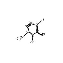 O=[N+]([O-])c1cnc(Cl)c(Br)c1Br